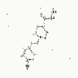 O=C(NO)C1CCN(CCc2ccc(Br)cc2)CC1